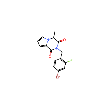 CC1C(=O)N(Cc2ccc(Br)cc2F)C(=O)c2cccn21